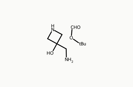 CC(C)(C)OC=O.NCC1(O)CNC1